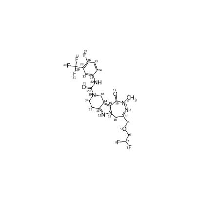 CN1N=C(COCC(F)F)Cn2nc3c(c2C1=O)CN(C(=O)Nc1ccc(F)c(C(F)(F)F)c1)CC3